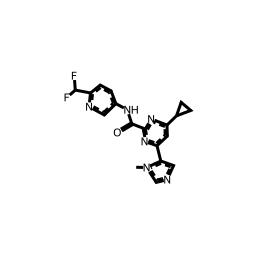 Cn1cncc1-c1cc(C2CC2)nc(C(=O)Nc2ccc(C(F)F)nc2)n1